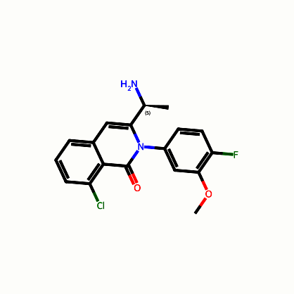 COc1cc(-n2c([C@H](C)N)cc3cccc(Cl)c3c2=O)ccc1F